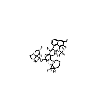 [2H]C([2H])([2H])Oc1c(F)c(F)cc2cccc(-c3ncc4c(N5CCCC[C@H]6[C@H](F)[C@H]65)nc(OC([2H])([2H])[C@@]56CCCN5C[C@H](F)C6)nc4c3F)c12